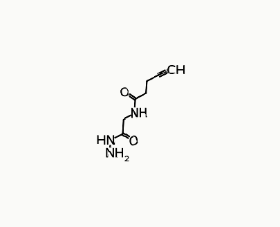 C#CCCC(=O)NCC(=O)NN